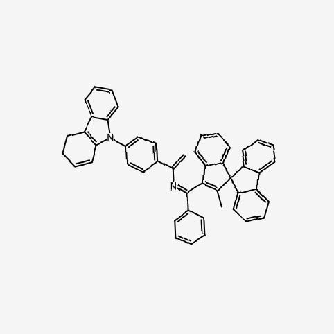 C=C(/N=C(\C1=C(C)C2(c3ccccc31)c1ccccc1-c1ccccc12)c1ccccc1)c1ccc(-n2c3c(c4ccccc42)CCC=C3)cc1